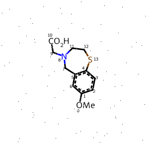 COc1ccc2c(c1)CN(CC(=O)O)CCS2